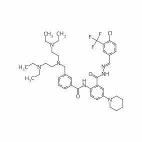 CCN(CC)CCN(CCN(CC)CC)Cc1cccc(C(=O)Nc2ccc(N3CCCCC3)cc2C(=O)N/N=C/c2ccc(Cl)c(C(F)(F)F)c2)c1